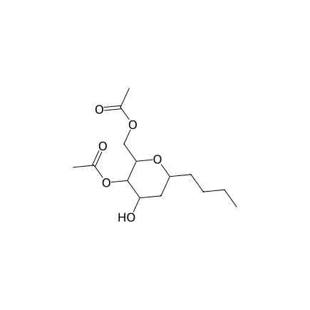 CCCCC1CC(O)C(OC(C)=O)C(COC(C)=O)O1